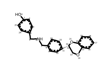 Oc1ccc(CNCc2ccc([C@H]3COc4ccccc4O3)cc2)cc1